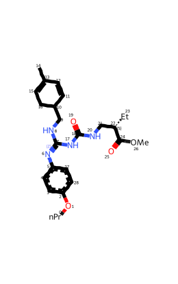 CCCOc1ccc(/N=C(/NCC2C=CC(C)=CC2)NC(=O)NC[C@H](CC)C(=O)OC)cc1